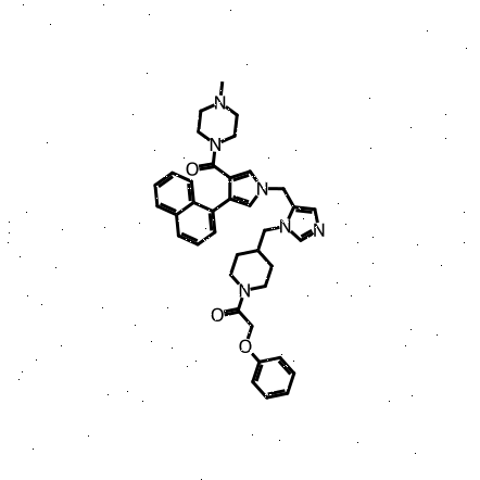 CN1CCN(C(=O)c2cn(Cc3cncn3CC3CCN(C(=O)COc4ccccc4)CC3)cc2-c2cccc3ccccc23)CC1